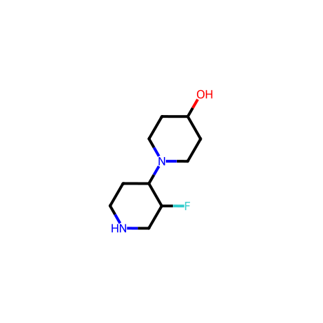 OC1CCN(C2CCNCC2F)CC1